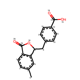 Cc1ccc2c(c1)C(Cc1ccc(C(=O)O)cc1)OC2=O